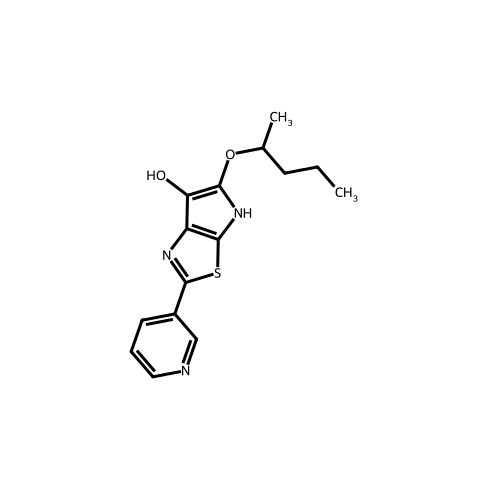 CCCC(C)Oc1[nH]c2sc(-c3cccnc3)nc2c1O